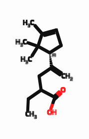 C=C(CC(CC)C(=O)O)[C@H]1CC=C(C)C1(C)C